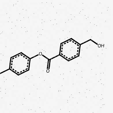 Cc1ccc(OC(=O)c2ccc(CO)cc2)cc1